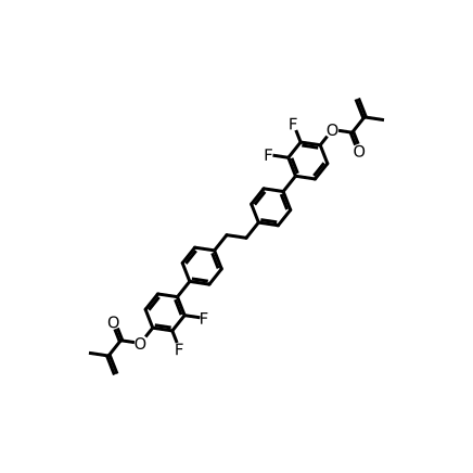 C=C(C)C(=O)Oc1ccc(-c2ccc(CCc3ccc(-c4ccc(OC(=O)C(=C)C)c(F)c4F)cc3)cc2)c(F)c1F